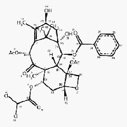 CC(=O)O[C@H]1C(=O)[C@]2(C)[C@@H](OC(=O)C(Cl)Cl)C[C@H]3OC[C@@]3(OC(C)=O)[C@H]2[C@H](OC(=O)c2ccccc2)[C@]2(O)C[C@H](O)C(C)=C1C2(C)C